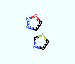 c1conn1.c1cscn1